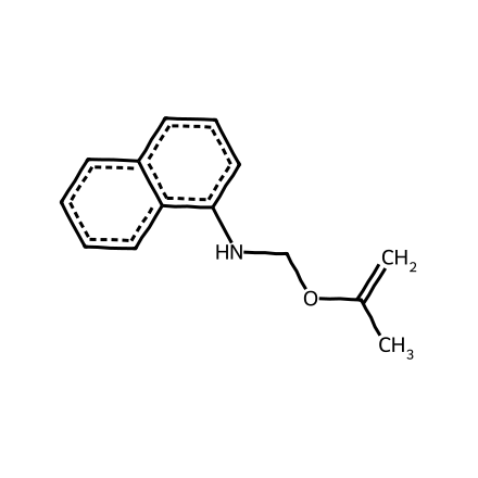 C=C(C)OCNc1cccc2ccccc12